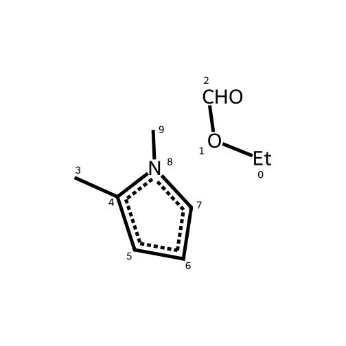 CCOC=O.Cc1cccn1C